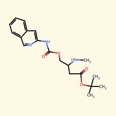 CNC(COC(=O)Nc1cc2ccccc2cn1)CC(=O)OC(C)(C)C